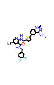 C=C/N=C(/N)c1cc(-c2ccc(CNc3ncc(CC)cc3C(=O)NCC3=CC[C@H](F)C(F)=C3)s2)ccc1N